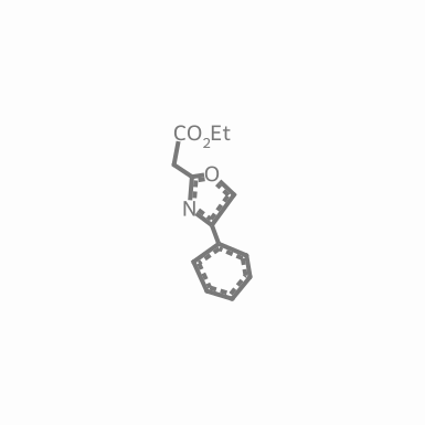 CCOC(=O)Cc1nc(-c2ccccc2)co1